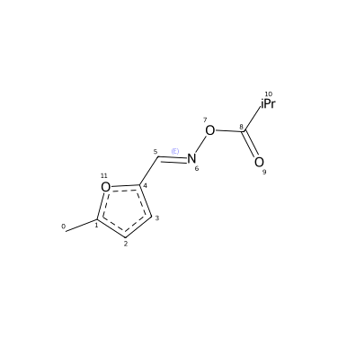 Cc1ccc(/C=N/OC(=O)C(C)C)o1